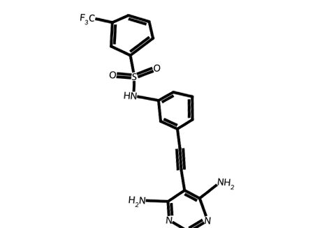 Nc1ncnc(N)c1C#Cc1cccc(NS(=O)(=O)c2cccc(C(F)(F)F)c2)c1